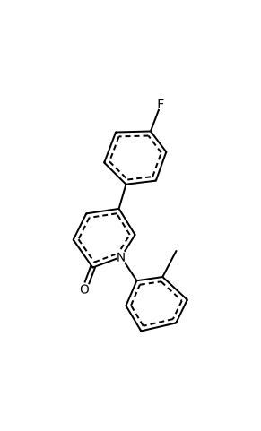 Cc1ccccc1-n1cc(-c2ccc(F)cc2)ccc1=O